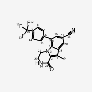 Cc1c2n(c3c(-c4ccc(C(F)(F)F)cc4)cc(C#N)cc13)CCNC2=O